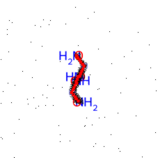 NC(=O)CCCCCCC/C=C\CCCCCCCC(=O)NCCNC(=O)CCCCCCC/C=C\CCCCCCCC(N)=O